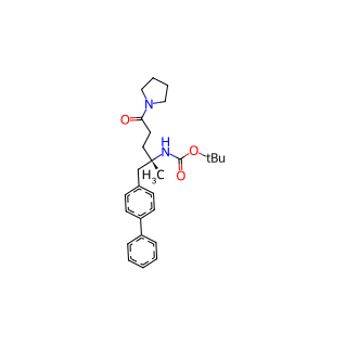 CC(C)(C)OC(=O)N[C@@](C)(CCC(=O)N1CCCC1)Cc1ccc(-c2ccccc2)cc1